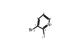 Brc1c[c]cnc1I